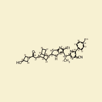 CCc1nc2n(c1N(C)c1nc(-c3ccc(F)cc3)c(C#N)s1)NC(N1CC3N(CC(=O)N4CC(O)C4)C4CCC431)S2